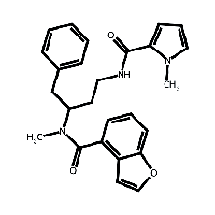 CN(C(=O)c1cccc2occc12)C(CCNC(=O)c1cccn1C)Cc1ccccc1